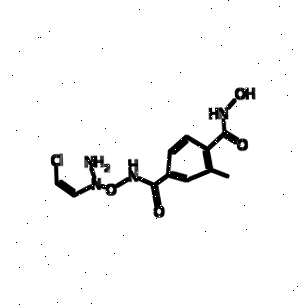 Cc1cc(C(=O)NON(N)/C=C\Cl)ccc1C(=O)NO